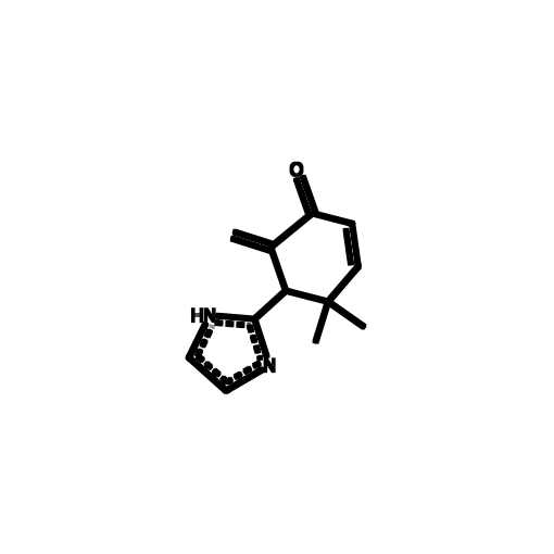 C=C1C(=O)C=CC(C)(C)C1c1ncc[nH]1